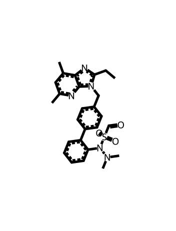 CCc1nc2c(C)cc(C)nc2n1Cc1ccc(-c2ccccc2N(N(C)C)S(=O)(=O)C=O)cc1